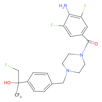 Nc1c(F)cc(C(=O)N2CCN(Cc3ccc(C(O)(CF)C(F)(F)F)cc3)CC2)cc1F